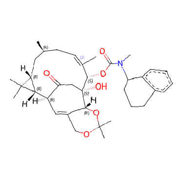 C/C1=C/C[C@H](C)C[C@@H]2[C@H]([C@@H]3C=C4COC(C)(C)O[C@H]4[C@@](O)(CC3=O)[C@H]1OC(=O)N(C)C1CCCc3ccccc31)C2(C)C